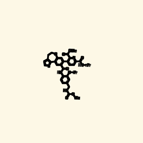 CCCNC(=O)c1ccc(-c2cc3c(cc2C(=O)Nc2ccc(CNC(=O)OC(C)(C)C)cc2OC(C)C)-c2sccc2CCO3)c(C(=O)OC)n1